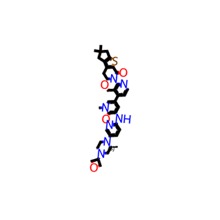 C[C@H]1CN(C2COC2)CCN1c1ccc(Nc2cc(-c3ccnc(N4CCc5c(sc6c5CC(C)(C)C6)C4=O)c3C=O)cn(C)c2=O)nc1